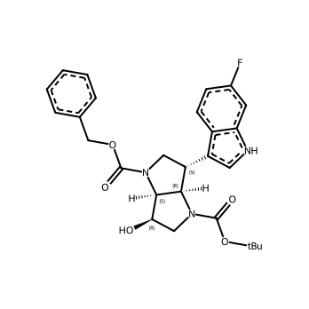 CC(C)(C)OC(=O)N1C[C@@H](O)[C@@H]2[C@H]1[C@@H](c1c[nH]c3cc(F)ccc13)CN2C(=O)OCc1ccccc1